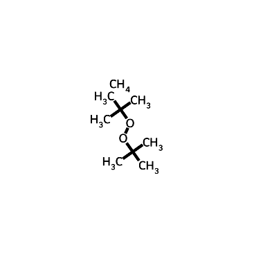 C.CC(C)(C)OOC(C)(C)C